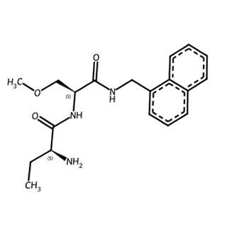 CC[C@H](N)C(=O)N[C@@H](COC)C(=O)NCc1cccc2ccccc12